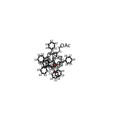 CC(=O)OCCC[Si]12O[Si]3(c4ccccc4)O[Si]4(c5ccccc5)O[Si](c5ccccc5)(O1)O[Si]1(c5ccccc5)O[Si](c5ccccc5)(O2)O[Si](c2ccccc2)(O3)O[Si](c2ccccc2)(O4)O1